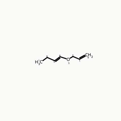 C=CCOC=CCC